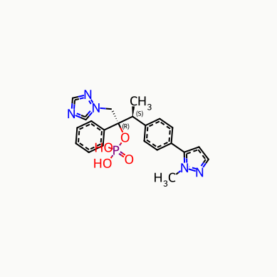 C[C@@H](c1ccc(-c2ccnn2C)cc1)[C@@](Cn1cncn1)(OP(=O)(O)O)c1ccccc1